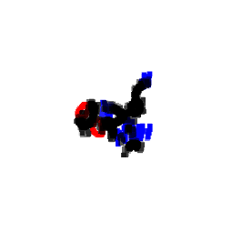 CC(C)Nc1ncc2c(OC3CCOCC3)ncc(-c3cccc(CC#N)c3)c2n1